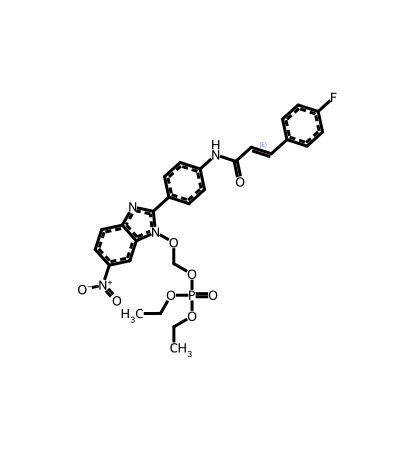 CCOP(=O)(OCC)OCOn1c(-c2ccc(NC(=O)/C=C/c3ccc(F)cc3)cc2)nc2ccc([N+](=O)[O-])cc21